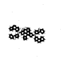 CC1(C)c2cc(N(c3ccc4ccc5ccccc5c4c3)c3ccc4oc5ccccc5c4c3)ccc2-c2c(-c3ccccc3)c3ccc(N(c4ccc5ccc6ccccc6c5c4)c4ccc5oc6ccccc6c5c4)cc3c3cccc1c23